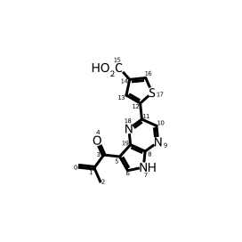 C=C(C)C(=O)c1c[nH]c2ncc(-c3cc(C(=O)O)cs3)nc12